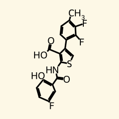 Cc1ccc(-c2csc(NC(=O)c3cc(F)ccc3O)c2C(=O)O)c(F)c1F